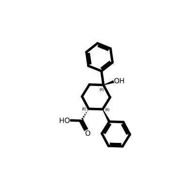 O=C(O)[C@@H]1CC[C@](O)(c2ccccc2)C[C@H]1c1ccccc1